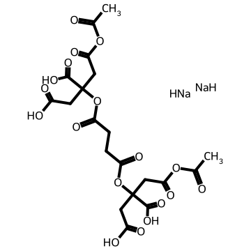 CC(=O)OC(=O)CC(CC(=O)O)(OC(=O)CCC(=O)OC(CC(=O)O)(CC(=O)OC(C)=O)C(=O)O)C(=O)O.[NaH].[NaH]